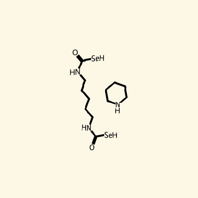 C1CCNCC1.O=C([SeH])NCCCCCNC(=O)[SeH]